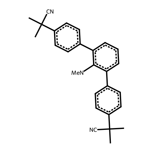 CNc1c(-c2ccc(C(C)(C)C#N)cc2)cccc1-c1ccc(C(C)(C)C#N)cc1